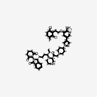 CC[C@H](CCC[C@@H]1c2ccccc2C(=O)N1N1C(=O)CCCC1=O)N1CCNC[C@@H]1C(=O)CN1CCC(n2cc(-c3cnc(N)c(OCCc4c(Cl)ccc(F)c4Cl)c3)cn2)CC1